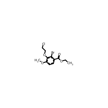 CCOC(=O)c1ccc(OC)c(OCCCl)c1Br